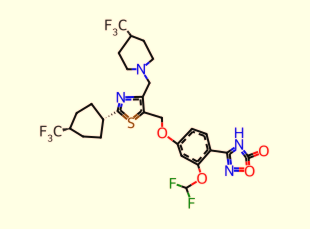 O=c1[nH]c(-c2ccc(OCc3sc([C@H]4CC[C@H](C(F)(F)F)CC4)nc3CN3CCC(C(F)(F)F)CC3)cc2OC(F)F)no1